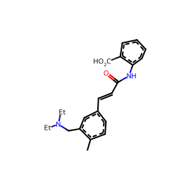 CCN(CC)Cc1cc(/C=C/C(=O)Nc2ccccc2C(=O)O)ccc1C